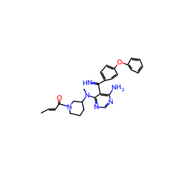 C/C=C/C(=O)N1CCCC(N(C)c2ncnc(N)c2C(=N)c2ccc(Oc3ccccc3)cc2)C1